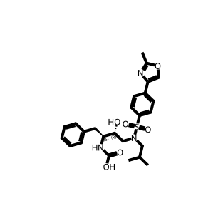 Cc1nc(-c2ccc(S(=O)(=O)N(CC(C)C)C[C@@H](O)[C@H](Cc3ccccc3)NC(=O)O)cc2)co1